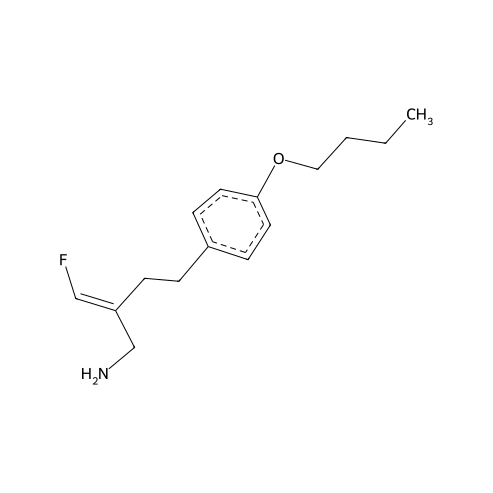 CCCCOc1ccc(CC/C(=C\F)CN)cc1